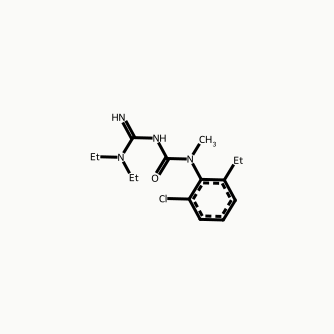 CCc1cccc(Cl)c1N(C)C(=O)NC(=N)N(CC)CC